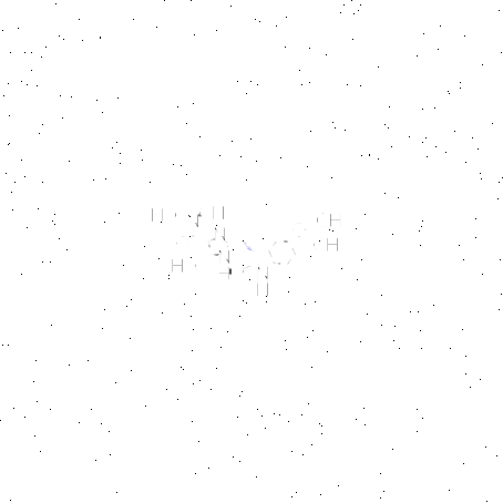 Cc1[nH]c(/C=C2\C(=O)Nc3ccc(OC(C)C)cc32)nc1C(=O)N(C)C